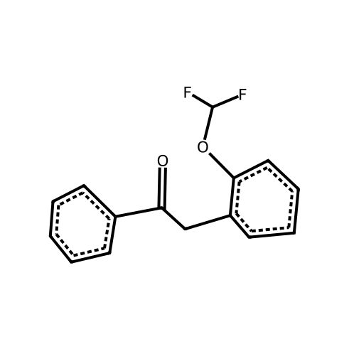 O=C(Cc1ccccc1OC(F)F)c1ccccc1